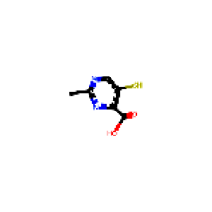 Cc1ncc(S)c(C(=O)O)n1